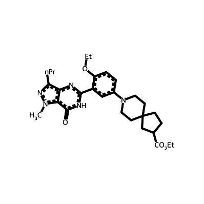 CCCc1nn(C)c2c(=O)[nH]c(-c3cc(N4CCC5(CCC(C(=O)OCC)C5)CC4)ccc3OCC)nc12